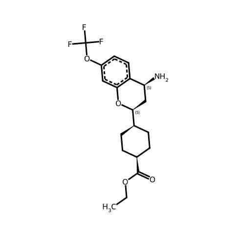 CCOC(=O)[C@H]1CC[C@@H]([C@@H]2C[C@H](N)c3ccc(OC(F)(F)F)cc3O2)CC1